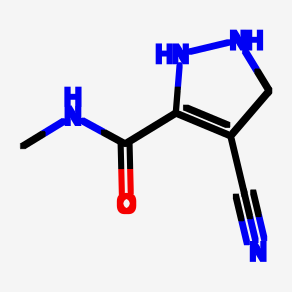 CNC(=O)C1=C(C#N)CNN1